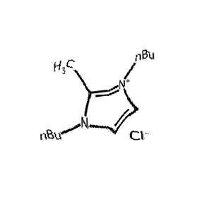 CCCCn1cc[n+](CCCC)c1C.[Cl-]